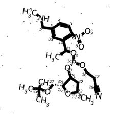 CNCc1ccc([N+](=O)[O-])c(C(C)OP(OCCC#N)OC2C[C@H](C)O[C@@H]2COC(C)(C)C)c1